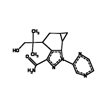 CC(C)(CO)C1CC2CC2c2c1c(C(N)=O)nn2-c1cnccn1